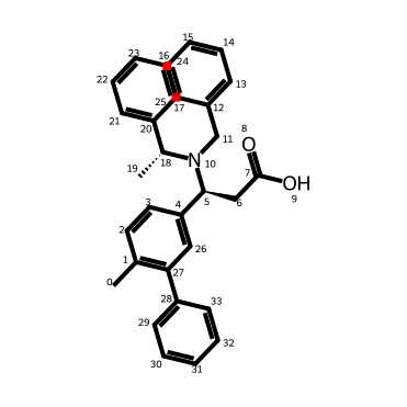 Cc1ccc([C@H](CC(=O)O)N(Cc2ccccc2)[C@H](C)c2ccccc2)cc1-c1ccccc1